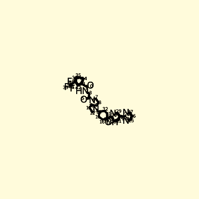 O=C(NCC(=O)N1CCC2C1CCN2C1CCC(O)(c2ccc(-c3ncccn3)cn2)CC1)c1cccc(C(F)(F)F)c1